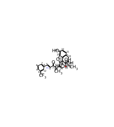 CN(C(=O)/C=C/c1cccc(C(F)(F)F)c1)C1CC[C@@]2(O)[C@H]3Cc4ccc(O)c5c4[C@@]2(C(O)CN3C)C1O5